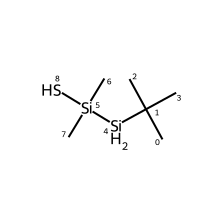 CC(C)(C)[SiH2][Si](C)(C)S